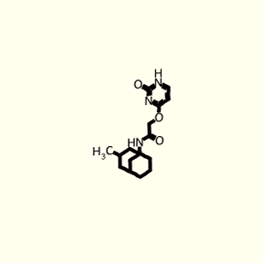 CC1CC2CCCC(NC(=O)COc3cc[nH]c(=O)n3)(C1)C2